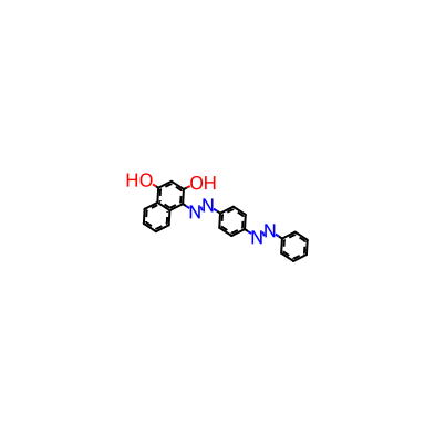 Oc1cc(O)c2ccccc2c1/N=N/c1ccc(/N=N/c2ccccc2)cc1